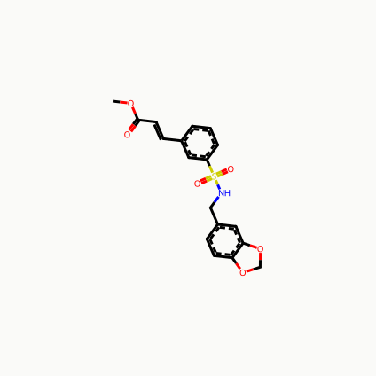 COC(=O)/C=C/c1cccc(S(=O)(=O)NCc2ccc3c(c2)OCO3)c1